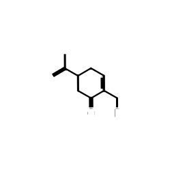 C=C(C)C1CC=C(CF)C(=O)C1